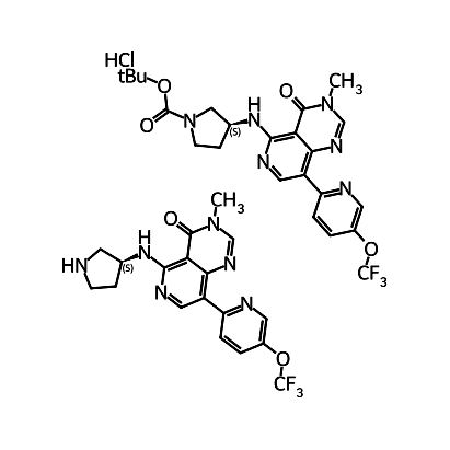 Cl.Cn1cnc2c(-c3ccc(OC(F)(F)F)cn3)cnc(N[C@H]3CCN(C(=O)OC(C)(C)C)C3)c2c1=O.Cn1cnc2c(-c3ccc(OC(F)(F)F)cn3)cnc(N[C@H]3CCNC3)c2c1=O